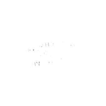 COc1ccc(C(=O)OC2(C(=O)O)CNC2)c(O)c1